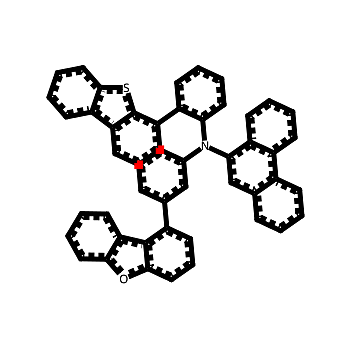 c1cc(-c2cccc3oc4ccccc4c23)cc(N(c2ccccc2-c2cccc3c2sc2ccccc23)c2cc3ccccc3c3ccccc23)c1